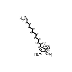 CCCCCCCCCCCC(=O)C[C@@]1(O)O[C@H](CO)[C@H](O)[C@H]1O